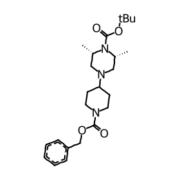 C[C@@H]1CN(C2CCN(C(=O)OCc3ccccc3)CC2)C[C@H](C)N1C(=O)OC(C)(C)C